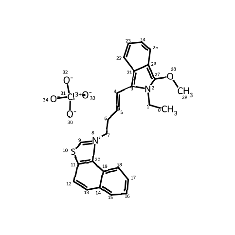 CCn1c(C=CCC[n+]2csc3ccc4ccccc4c32)c2ccccc2c1OC.[O-][Cl+3]([O-])([O-])[O-]